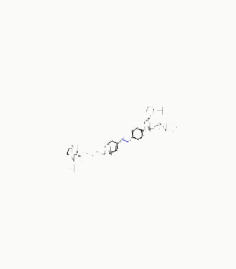 CN1C=CNC1SCCCC[n+]1ccc(/C=C/c2ccc(N(CCO)CCN=O)cc2)cc1